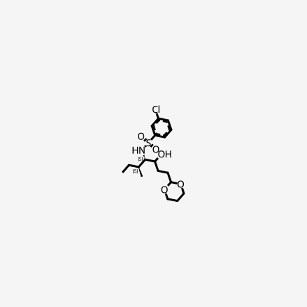 CC[C@H](C)[C@H](NS(=O)(=O)c1cccc(Cl)c1)C(O)CCC1OCCCO1